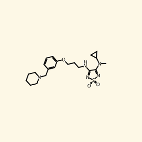 CN(C1=NS(=O)(=O)N=C1NCCCOc1cccc(CN2CCCCC2)c1)C1CC1